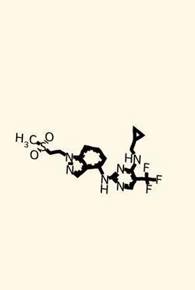 CS(=O)(=O)CCn1ncc2c(Nc3ncc(C(F)(F)F)c(NCC4CC4)n3)cccc21